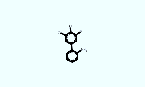 Nc1ccccc1-c1cc(F)c(Cl)c(Cl)c1